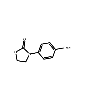 COc1ccc(N2CCOC2=O)cc1